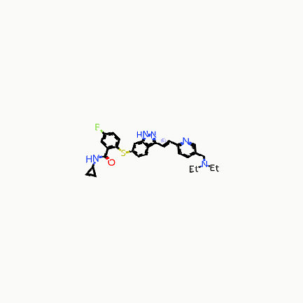 CCN(CC)Cc1ccc(/C=C/c2n[nH]c3cc(Sc4ccc(F)cc4C(=O)NC4CC4)ccc23)nc1